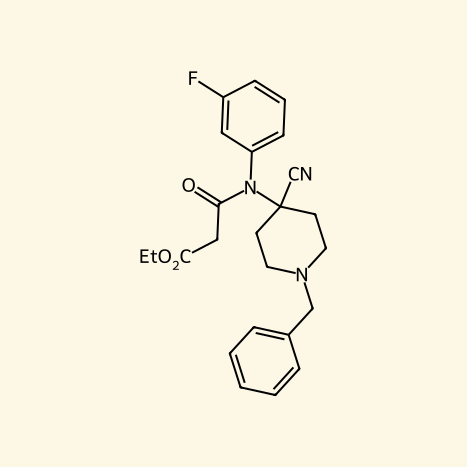 CCOC(=O)CC(=O)N(c1cccc(F)c1)C1(C#N)CCN(Cc2ccccc2)CC1